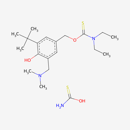 CCN(CC)C(=S)OCc1cc(CN(C)C)c(O)c(C(C)(C)C)c1.NC(O)=S